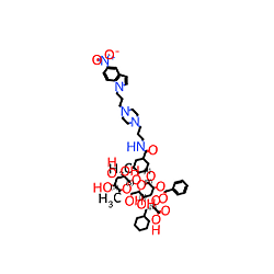 CC1CC(C(=O)NCCCN2CCN(CCCn3ccc4cc([N+](=O)[O-])ccc43)CC2)C[C@@H](O[C@@H]2OC(CO)[C@H](O)C(O[C@@H](CC3CCCCC3)C(=O)O)C2OC(=O)c2ccccc2)C1O[C@@H]1OC(C)[C@@H](O)C(O)C1O